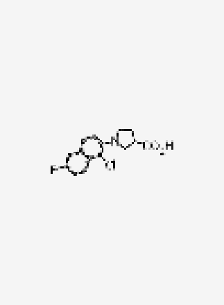 O=C(O)C1CCN(c2ccc3cc(F)ccc3c2Cl)C1